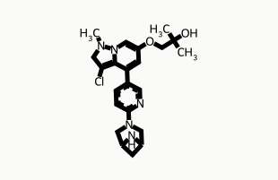 CN1CC(Cl)=C2C(c3ccc(N4CC5CC(C4)N5)nc3)=CC(OCC(C)(C)O)=CN21